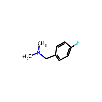 [CH2]N(C)Cc1ccc(F)cc1